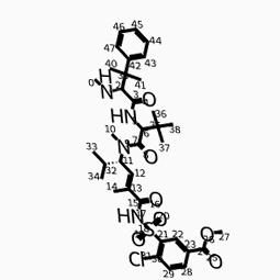 CN[C@H](C(=O)NC(C(=O)N(C)[C@H](/C=C(\C)C(=O)NS(=O)(=O)c1cc(C(=O)OC)ccc1Cl)C(C)C)C(C)(C)C)C(C)(C)c1ccccc1